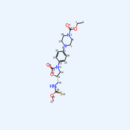 CCOC(=O)N1CCN(c2ccc(N3C[C@H](CNC(=S)OC)OC3=O)cc2)CC1